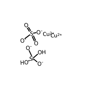 O=S(=O)([O-])[O-].[Cu+2].[Cu+2].[O-][Si]([O-])(O)O